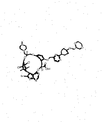 Cc1c(Cl)c2c(Cl)c(C)c1-c1c(Br)sc3ncnc(c13)O[C@@H](C(=O)O)Cc1cc(ccc1OCc1ccnc(C3CCC(OC[C@H]4COCCO4)CC3)n1)OC[C@@H](CN1CCN(C)CC1)O2